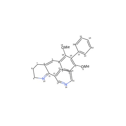 COc1ccc(/C=C2/CCCN=C2c2cccnc2)c(OC)c1-c1ccccc1